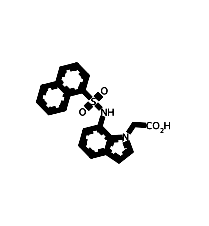 O=C(O)Cn1ccc2cccc(NS(=O)(=O)c3cccc4ccccc34)c21